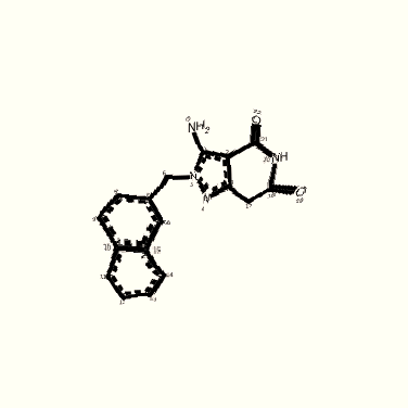 Nc1c2c(nn1Cc1ccc3ccccc3c1)CC(=O)NC2=O